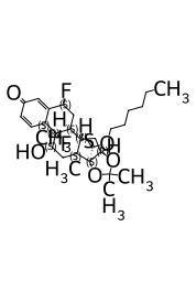 CCCCCCOC(=S)[C@@]12OC(C)(C)O[C@@H]1C[C@H]1[C@@H]3C[C@H](F)C4=CC(=O)C=C[C@]4(C)[C@@]3(F)[C@@H](O)C[C@@]12C